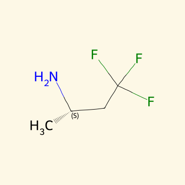 C[C@H](N)CC(F)(F)F